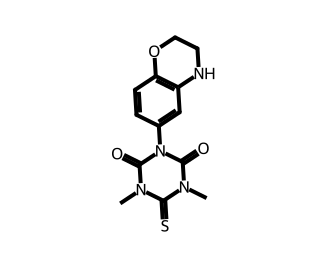 Cn1c(=S)n(C)c(=O)n(-c2ccc3c(c2)NCCO3)c1=O